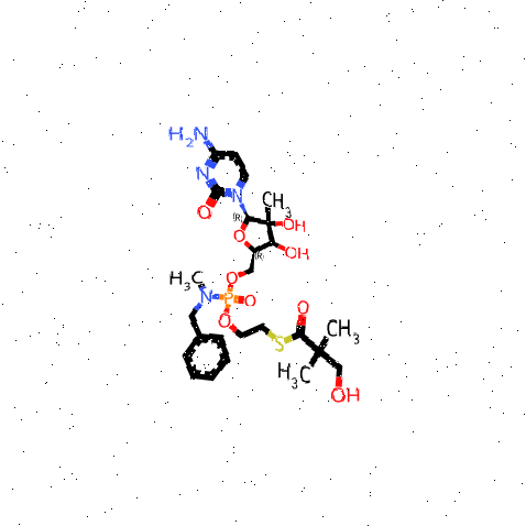 CN(Cc1ccccc1)P(=O)(OCCSC(=O)C(C)(C)CO)OC[C@H]1O[C@@H](n2ccc(N)nc2=O)C(C)(O)C1O